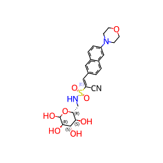 N#C/C(=C\c1ccc2cc(N3CCOCC3)ccc2c1)S(=O)(=O)NC[C@H]1OC(O)[C@H](O)[C@@H](O)[C@@H]1O